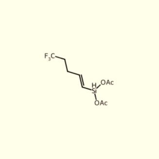 CC(=O)O[SiH](C=CCCC(F)(F)F)OC(C)=O